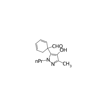 CCCn1nc(C)c(O)c1C1(C=O)C=CC=CC1